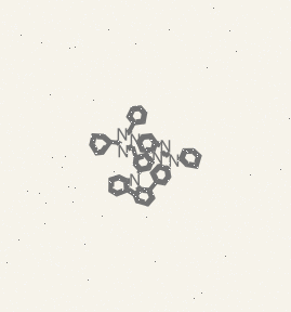 c1ccc(-c2nc(-c3ccccc3)nc(-c3cccc(-n4c5ccccc5c5cccc(-c6ccc7c(c6)n6c8ccccc8nc6n7-c6ccccc6)c54)c3)n2)cc1